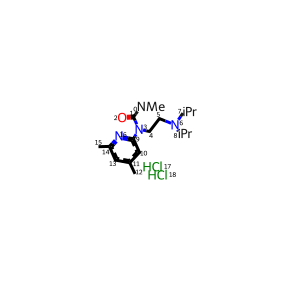 CNC(=O)N(CCN(C(C)C)C(C)C)c1cc(C)cc(C)n1.Cl.Cl